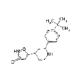 CC(C)(C)c1ccc(C2CC(c3cc(=O)[nH]o3)CCN2)cc1